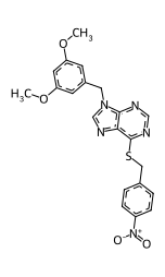 COc1cc(Cn2cnc3c(SCc4ccc([N+](=O)[O-])cc4)ncnc32)cc(OC)c1